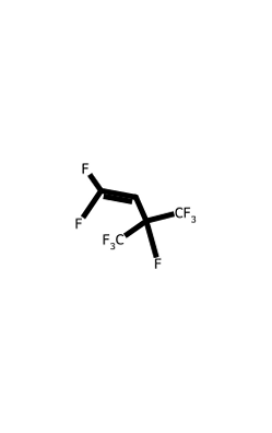 FC(F)=CC(F)(C(F)(F)F)C(F)(F)F